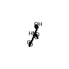 CCOC(=O)CCCCCCC(NCCCc1ccc(O)cc1)C(=O)OCC